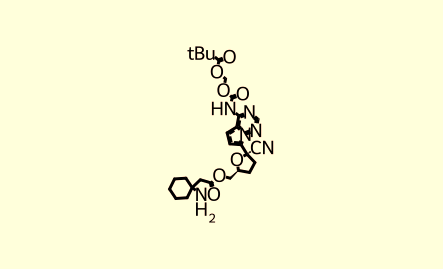 CC(C)(C)C(=O)OCOC(=O)Nc1ncnn2c([C@@]3(C#N)CC[C@@H](COC(=O)CC4(N)CCCCC4)O3)ccc12